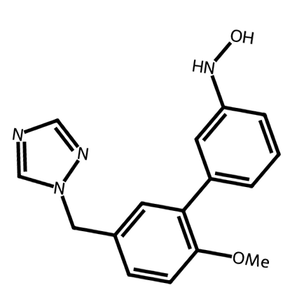 COc1ccc(Cn2cncn2)cc1-c1cccc(NO)c1